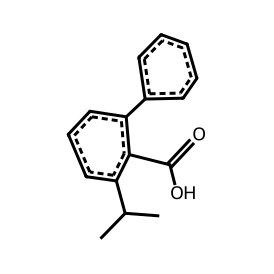 CC(C)c1cccc(-c2ccccc2)c1C(=O)O